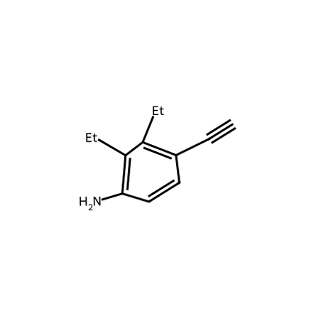 C#Cc1ccc(N)c(CC)c1CC